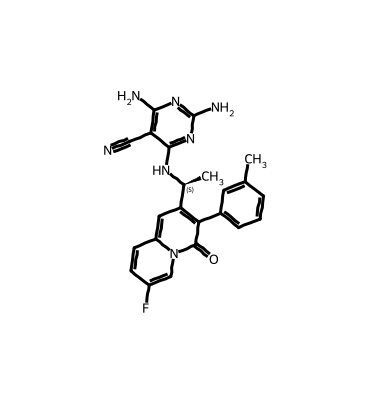 Cc1cccc(-c2c([C@H](C)Nc3nc(N)nc(N)c3C#N)cc3ccc(F)cn3c2=O)c1